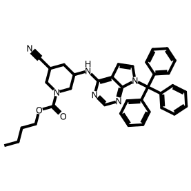 CCCCOC(=O)N1CC(C#N)CC(Nc2ncnc3c2ccn3C(c2ccccc2)(c2ccccc2)c2ccccc2)C1